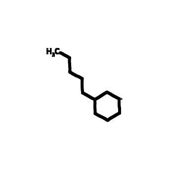 CCCCCC1C[CH]CCC1